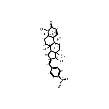 CN1C(=O)C=C[C@]2(C)[C@H]3CC[C@]4(C)[C@@H](O)/C(=C\c5ccc([N+](=O)[O-])cc5)C[C@H]4[C@@H]3CC[C@@H]12